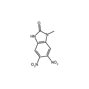 Cn1c(=O)[nH]c2cc([N+](=O)[O-])c([N+](=O)[O-])cc21